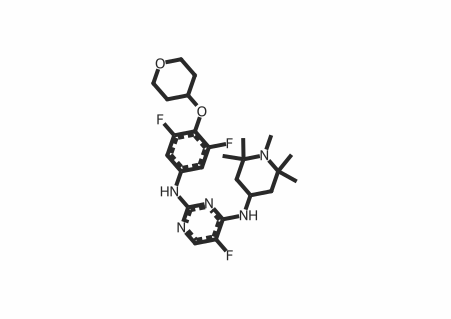 CN1C(C)(C)CC(Nc2nc(Nc3cc(F)c(OC4CCOCC4)c(F)c3)ncc2F)CC1(C)C